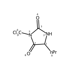 CCCC1NC(=O)N(C(Cl)(Cl)Cl)C1=O